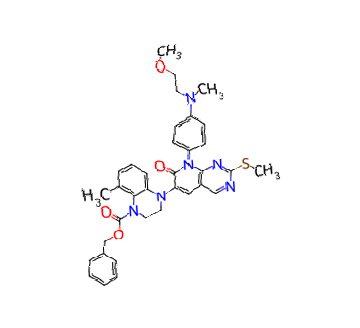 COCCN(C)c1ccc(-n2c(=O)c(N3CCN(C(=O)OCc4ccccc4)c4c(C)cccc43)cc3cnc(SC)nc32)cc1